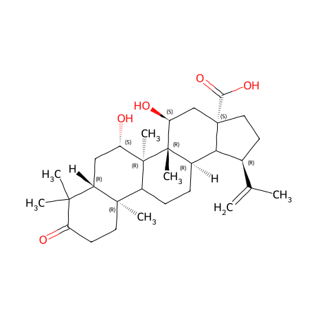 C=C(C)[C@@H]1CC[C@]2(C(=O)O)C[C@H](O)[C@]3(C)[C@H](CCC4[C@@]3(C)[C@@H](O)C[C@H]3C(C)(C)C(=O)CC[C@]43C)C12